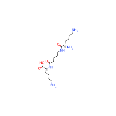 NCCCC[C@H](NC(=O)CCCCNC(=O)[C@@H](N)CCCCN)C(=O)O